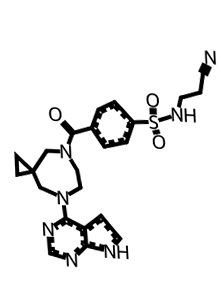 N#CCCNS(=O)(=O)c1ccc(C(=O)N2CCN(c3ncnc4[nH]ccc34)CC3(CC3)C2)cc1